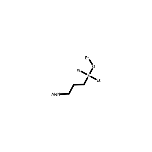 CCO[Si](CC)(CC)CCCNC